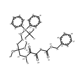 COC(CCO[Si](c1ccccc1)(c1ccccc1)C(C)(C)C)(CN(C)C(=O)C(=O)CC(=O)OCc1ccccc1)OC